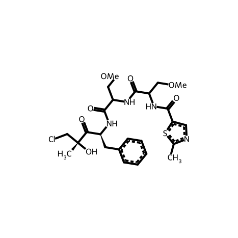 COCC(NC(=O)c1cnc(C)s1)C(=O)NC(COC)C(=O)N[C@@H](Cc1ccccc1)C(=O)[C@](C)(O)CCl